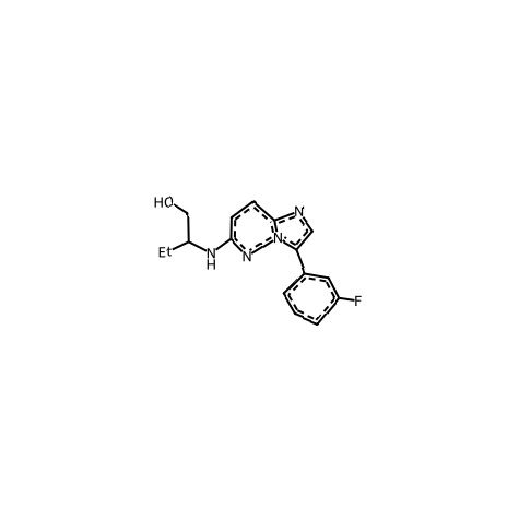 CCC(CO)Nc1ccc2ncc(-c3cccc(F)c3)n2n1